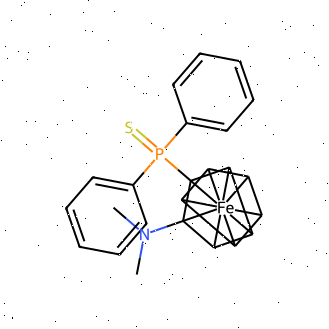 CN(C)[C]12[CH]3[CH]4[CH]5[C]1(P(=S)(c1ccccc1)c1ccccc1)[Fe]43521678[CH]2[CH]1[CH]6[CH]7[CH]28